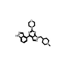 CN1CCC(Cn2ncc3c(-c4cccc5[nH]ncc45)nc(N4CCOCC4)nc32)CC1